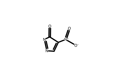 O=C1N=NC=C1[N+](=O)[O-]